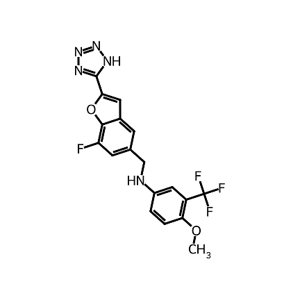 COc1ccc(NCc2cc(F)c3oc(-c4nnn[nH]4)cc3c2)cc1C(F)(F)F